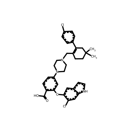 CC1(C)CCC(CN2CCN(c3ccc(C(=O)O)c(Oc4cc5cc[nH]c5cc4Cl)c3)CC2)=C(c2ccc(Cl)cc2)C1